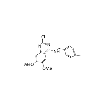 COc1cc2nc(Cl)nc(NCc3ccc(C)cc3)c2cc1OC